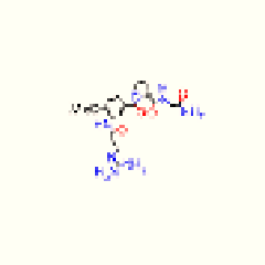 COc1ccc(C(=O)N2CCC[C@H]2C(=O)NCC(N)=O)cc1NC(=O)CCN=C(N)N